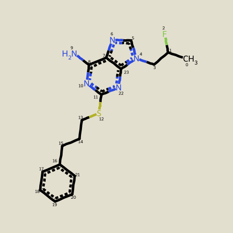 CC(F)Cn1cnc2c(N)nc(SCCCc3ccccc3)nc21